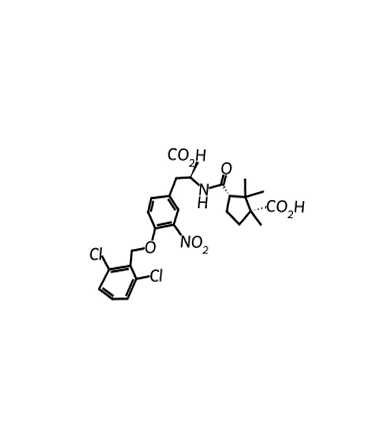 CC1(C)[C@@H](C(=O)N[C@@H](Cc2ccc(OCc3c(Cl)cccc3Cl)c([N+](=O)[O-])c2)C(=O)O)CC[C@@]1(C)C(=O)O